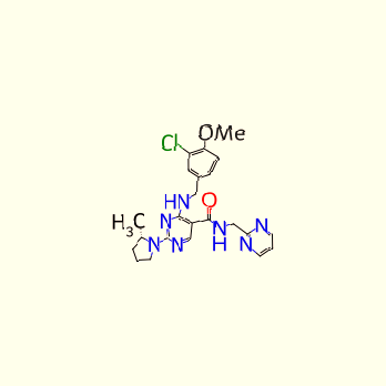 COc1ccc(CNc2nc(N3CCC[C@@H]3C)ncc2C(=O)NCc2ncccn2)cc1Cl